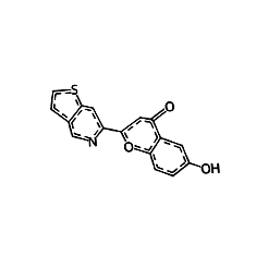 O=c1cc(-c2cc3sccc3cn2)oc2ccc(O)cc12